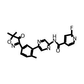 Cc1ccc(C2=NOC(C)(C)C2=O)cc1-c1cnc(NC(=O)c2ccnc(F)c2)cn1